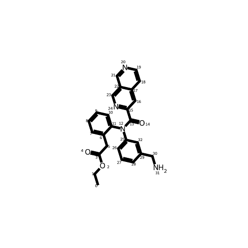 CCOC(=O)Cc1ccccc1N(C(=O)c1cc2ccncc2cn1)c1cccc(CN)c1